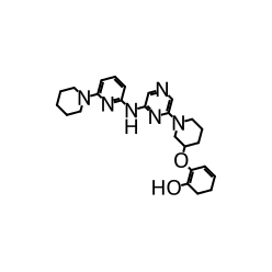 OC1=C(OC2CCCN(c3cncc(Nc4cccc(N5CCCCC5)n4)n3)C2)C=CCC1